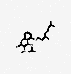 COc1c(OC(C)C)c2c(OCC=C(C)CCC=C(C)C)cccc2oc1=O